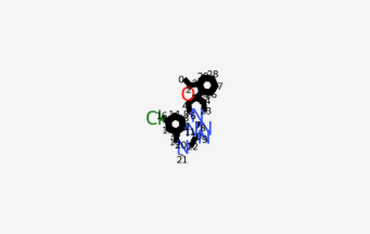 CC1OC2(CCN(c3nnc4n3-c3ccc(Cl)cc3CN(C)C4)CC2)c2ccccc21